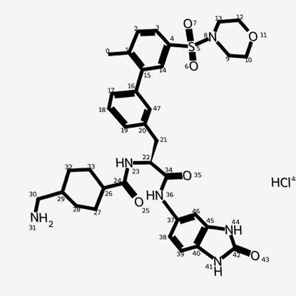 Cc1ccc(S(=O)(=O)N2CCOCC2)cc1-c1cccc(C[C@H](NC(=O)C2CCC(CN)CC2)C(=O)Nc2ccc3[nH]c(=O)[nH]c3c2)c1.Cl